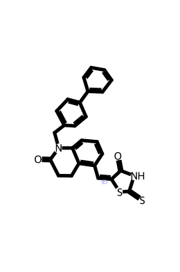 O=C1NC(=S)S/C1=C/c1cccc2c1CCC(=O)N2Cc1ccc(-c2ccccc2)cc1